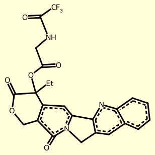 CCC1(OC(=O)CNC(=O)C(F)(F)F)C(=O)OCc2c1cc1n(c2=O)Cc2cc3ccccc3nc2-1